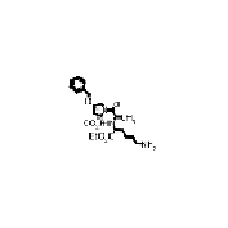 CCOC(=O)[C@H](CCCCN)NC(C)C(=O)N1C[C@@H](OCc2ccccc2)C[C@H]1C(=O)O